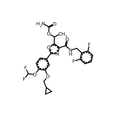 CC(OC(N)=O)c1oc(-c2ccc(OC(F)F)c(OCC3CC3)c2)nc1C(=O)NCc1c(F)cccc1F